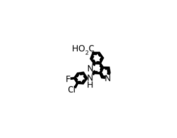 O=C(O)c1ccc2c(c1)nc(Nc1ccc(F)c(Cl)c1)c1cnccc12